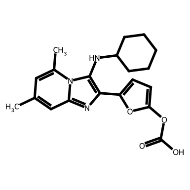 Cc1cc(C)n2c(NC3CCCCC3)c(-c3ccc(OC(=O)O)o3)nc2c1